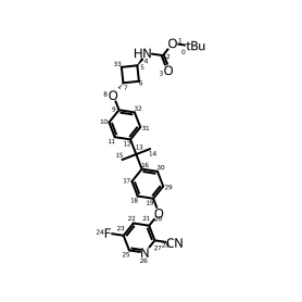 CC(C)(C)OC(=O)N[C@H]1C[C@H](Oc2ccc(C(C)(C)c3ccc(Oc4cc(F)cnc4C#N)cc3)cc2)C1